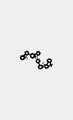 CC1(C)c2ccccc2-c2c1ccc1c2sc2c(-c3ccc(-n4c5ccccc5c5cc(-c6cccc7c6sc6ccccc67)ccc54)cc3)cccc21